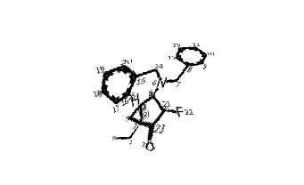 CC[C@@]12C[C@@H]1[C@@H](N(Cc1ccccc1)Cc1ccccc1)[C@@H](F)C2=O